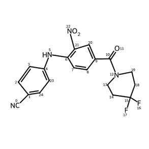 N#Cc1ccc(Nc2ccc(C(=O)N3CCC(F)(F)CC3)cc2[N+](=O)[O-])cc1